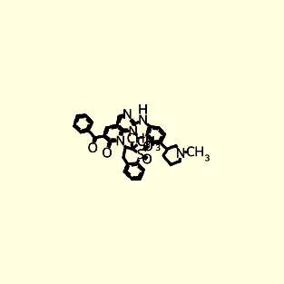 CN1CCCC(c2ccc(Nc3ncc4cc(C(=O)c5ccccc5)c(=O)n(C5Cc6ccccc6S(=O)(=O)C5(C)C)c4n3)cc2)C1